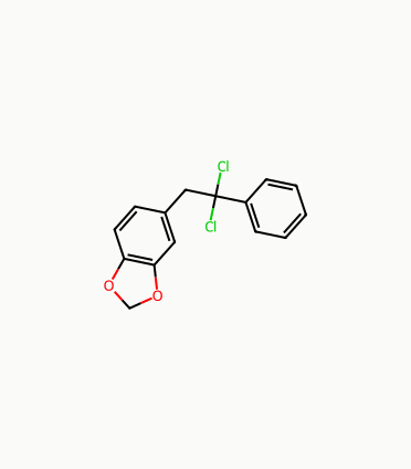 ClC(Cl)(Cc1ccc2c(c1)OCO2)c1ccccc1